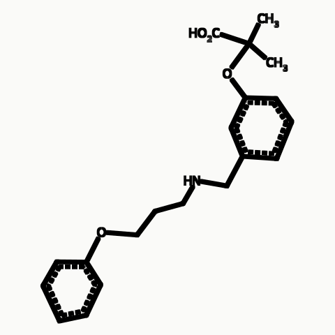 CC(C)(Oc1cccc(CNCCCOc2ccccc2)c1)C(=O)O